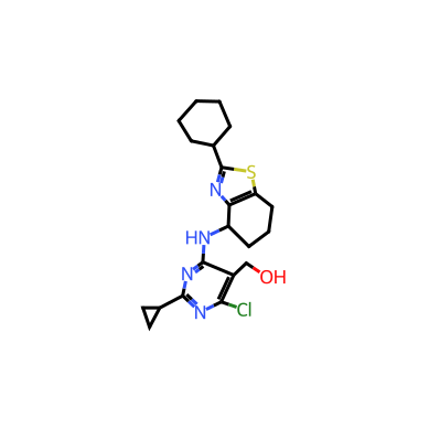 OCc1c(Cl)nc(C2CC2)nc1NC1CCCc2sc(C3CCCCC3)nc21